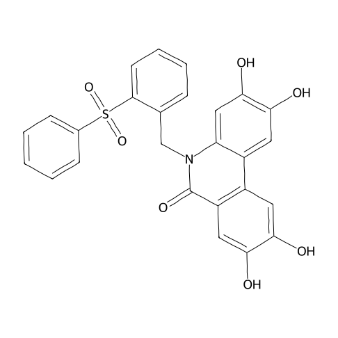 O=c1c2cc(O)c(O)cc2c2cc(O)c(O)cc2n1Cc1ccccc1S(=O)(=O)c1ccccc1